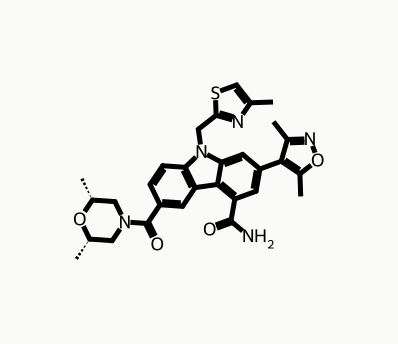 Cc1csc(Cn2c3ccc(C(=O)N4C[C@@H](C)O[C@@H](C)C4)cc3c3c(C(N)=O)cc(-c4c(C)noc4C)cc32)n1